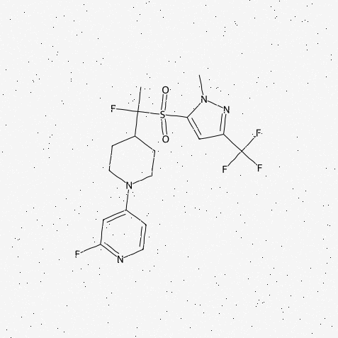 Cn1nc(C(F)(F)F)cc1S(=O)(=O)C(C)(F)C1CCN(c2ccnc(F)c2)CC1